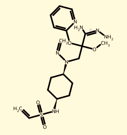 C=CS(=O)(=O)N[C@H]1CC[C@@H](N(CC(OC)(Oc2ccccn2)/C(N)=N\N)N=C)CC1